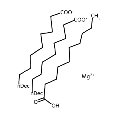 CCCCCCCCCC(=O)O.CCCCCCCCCCCCCCCCCC(=O)[O-].CCCCCCCCCCCCCCCCCC(=O)[O-].[Mg+2]